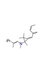 C=C(/C=C\C)/C=C1\C(C)(C)C1(C)N(C)/C=C(\C)C(C)C